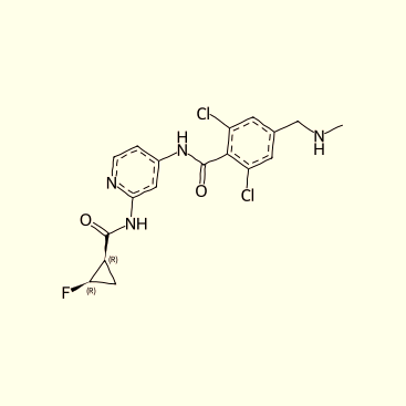 CNCc1cc(Cl)c(C(=O)Nc2ccnc(NC(=O)[C@H]3C[C@H]3F)c2)c(Cl)c1